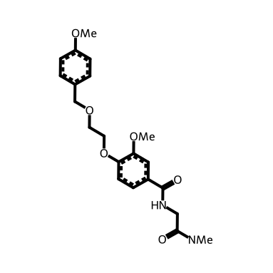 CNC(=O)CNC(=O)c1ccc(OCCOCc2ccc(OC)cc2)c(OC)c1